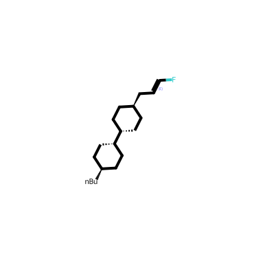 CCCC[C@H]1CC[C@H]([C@H]2CC[C@H](C/C=C/F)CC2)CC1